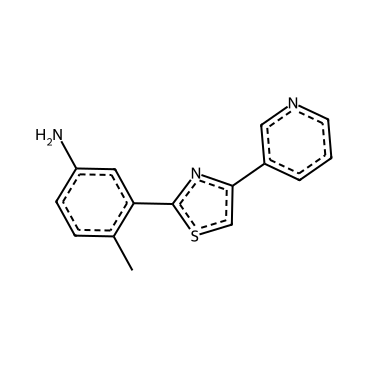 Cc1ccc(N)cc1-c1nc(-c2cccnc2)cs1